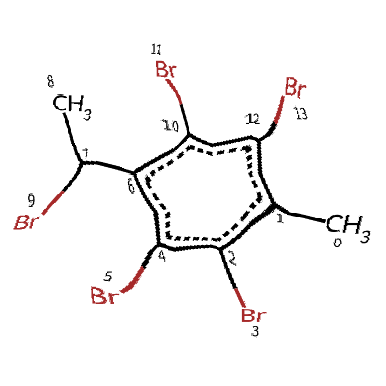 Cc1c(Br)c(Br)c(C(C)Br)c(Br)c1Br